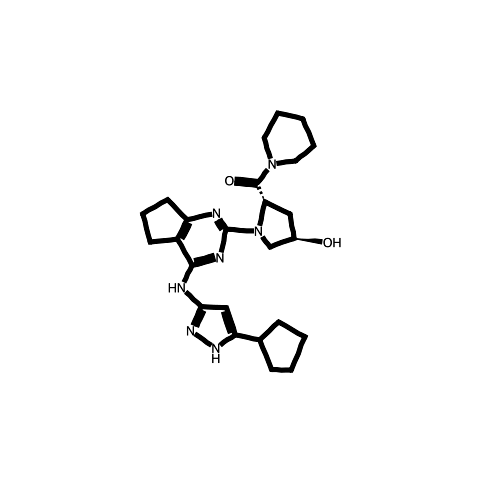 O=C([C@@H]1C[C@@H](O)CN1c1nc2c(c(Nc3cc(C4CCCC4)[nH]n3)n1)CCC2)N1CCCCC1